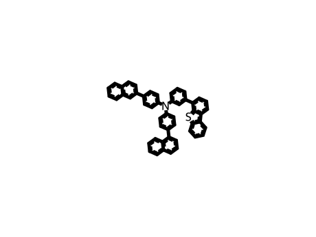 c1cc(-c2cccc3c2sc2ccccc23)cc(N(c2ccc(-c3ccc4ccccc4c3)cc2)c2ccc(-c3cccc4ccccc34)cc2)c1